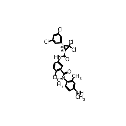 CNc1ccc(N(C)C(=O)c2cc(NC(=O)[C@H]3[C@H](c4cc(Cl)cc(Cl)c4)C3(Cl)Cl)ccc2Cl)c(C)c1